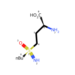 CCCC[S@@](=N)(=O)CC[C@H](N)C(=O)O